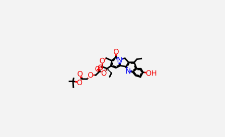 CCc1c2c(nc3ccc(O)cc13)-c1cc3c(c(=O)n1C2)COC(=O)[C@@]3(CC)OC(=O)COCC(=O)OC(C)(C)C